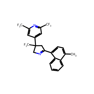 Cc1ccc(C2=NCC(c3cc(C(F)(F)F)nc(C(F)(F)F)c3)(C(F)(F)F)C2)c2ccccc12